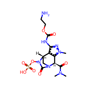 CN(C)C(=O)[C@@H]1c2c(c(NC(=O)OCCN)nn2C)[C@@H]2CN1C(=O)N2OS(=O)(=O)O